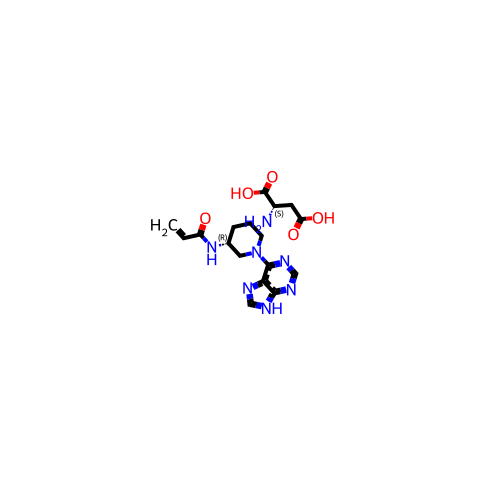 C=CC(=O)N[C@@H]1CCCN(c2ncnc3[nH]cnc23)C1.N[C@@H](CC(=O)O)C(=O)O